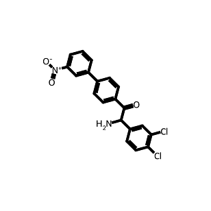 NC(C(=O)c1ccc(-c2cccc([N+](=O)[O-])c2)cc1)c1ccc(Cl)c(Cl)c1